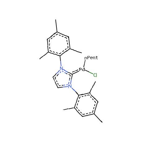 CCCC[CH2][Pd]([Cl])=[c]1n(-c2c(C)cc(C)cc2C)ccn1-c1c(C)cc(C)cc1C